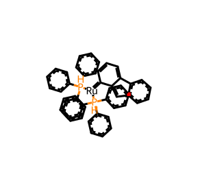 C1=C[C](=[Ru]([PH](c2ccccc2)(c2ccccc2)c2ccccc2)[PH](c2ccccc2)(c2ccccc2)c2ccccc2)C2=Cc3ccccc3C2=C1